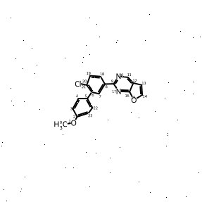 COc1ccc(-c2cc(-c3ncc4ccoc4n3)ccc2Cl)cc1